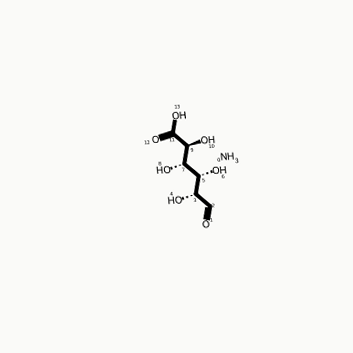 N.O=C[C@H](O)[C@@H](O)[C@H](O)[C@H](O)C(=O)O